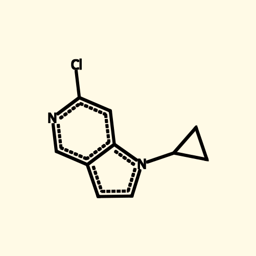 Clc1cc2c(ccn2C2CC2)cn1